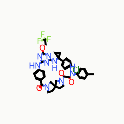 Cc1ccc(NC(=O)C(=O)N2CCC3(CCN(C(=O)c4ccc(Nc5nc(NC6(c7ccc(Cl)cc7)CC6)nc(OCC(F)(F)F)n5)cc4)C3)C2)cc1